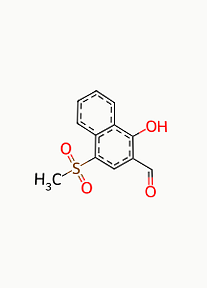 CS(=O)(=O)c1cc(C=O)c(O)c2ccccc12